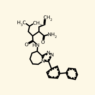 C=CCC(C(N)=O)C(CC(C)C)C(=O)NC1CCCCn2c(-c3cccc(-c4ccccc4)c3)nnc21